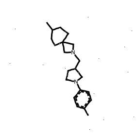 Cc1ccc(N2CCC(CN3CC4(CCC(C)CC4)C3)C2)cc1